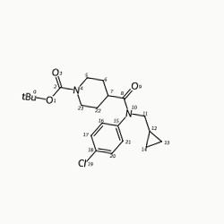 CC(C)(C)OC(=O)N1CCC(C(=O)N(CC2CC2)c2ccc(Cl)cc2)CC1